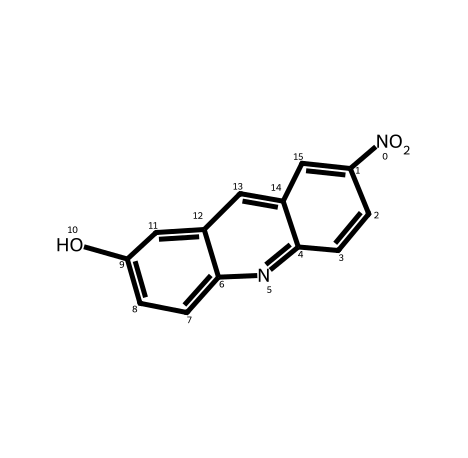 O=[N+]([O-])c1ccc2nc3ccc(O)cc3cc2c1